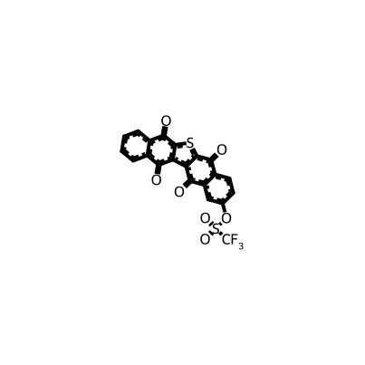 O=c1c2ccccc2c(=O)c2c1sc1c(=O)c3ccc(OS(=O)(=O)C(F)(F)F)cc3c(=O)c12